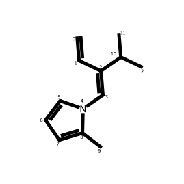 C=C/C(=C\n1cccc1C)C(C)C